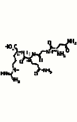 N=C(N)NCCC[C@H](NC(=O)[C@H](CCC(N)=O)NC(=O)CNC(=O)[C@@H](N)CC(N)=O)C(=O)O